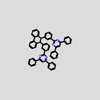 c1ccc(-c2cc(-c3ccccc3)nc(-c3cccc(C4c5ccccc5-c5ccccc5C4c4cccc(-c5nc(-c6ccccc6)cc(-c6ccccc6)n5)c4)c3)n2)cc1